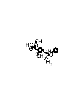 CCOC(Cc1ccc(OCc2nc(-c3ccccc3)oc2C)cc1OC)C(=O)O